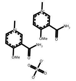 COc1cc[n+](C)cc1C(N)=O.COc1cc[n+](C)cc1C(N)=O.O=S(=O)([O-])[O-]